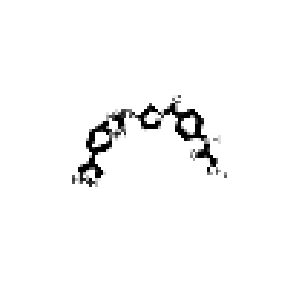 C=CC(=O)Nc1ccc(C(=O)N2CC[C@@H](Nc3nc4ccc(-c5cn[nH]c5)cn4n3)C2)cc1